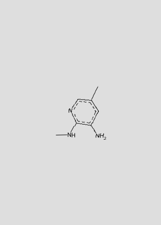 CNc1ncc(C)cc1N